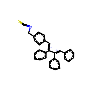 S=C=NCc1ccc(/C=C(/C(=C/c2ccccc2)c2ccccc2)c2ccccc2)cc1